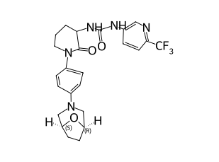 O=C(Nc1ccc(C(F)(F)F)nc1)NC1CCCN(c2ccc(N3C[C@H]4CC[C@@H](C3)O4)cc2)C1=O